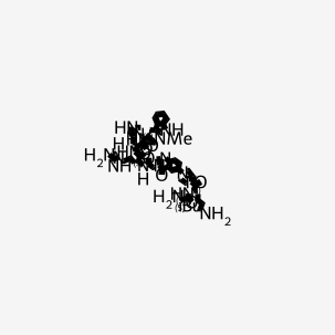 CC[C@H](C)[C@H](N)C(=O)N[C@@H](CCCCN)C(=O)N1CCN(c2ccc3ncn(CC(=O)N[C@@H](CCCNC(=N)N)C(=O)N[C@@H](Cc4c[nH]cn4)C(=O)N[C@@H](Cc4c[nH]c5ccccc45)C(=O)NC)c(=O)c3c2)CC1